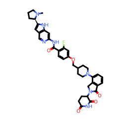 CN1CCC[C@@H]1c1cc2cnc(NC(=O)c3ccc(OCC4CCN(c5cccc6c5CN(C5CCC(=O)NC5=O)C6=O)CC4)cc3F)cc2[nH]1